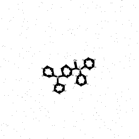 O=C(c1ccc(N(c2ccccc2)c2ccccc2)cc1)N(c1ccccc1)c1ccccc1